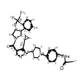 CC(=O)Nc1ccc(N2CCC(n3ncc(C(=O)N4CCC(c5ccccc5C(F)(F)F)C4)c3C3CC3)CC2)cc1